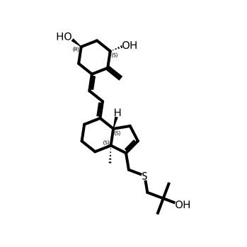 C=C1C(=CC=C2CCC[C@]3(C)C(CSCC(C)(C)O)=CC[C@@H]23)C[C@@H](O)C[C@@H]1O